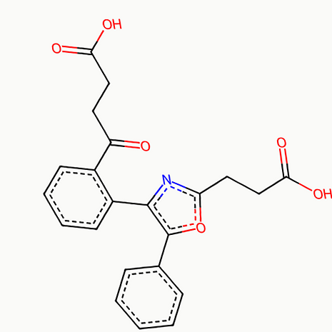 O=C(O)CCC(=O)c1ccccc1-c1nc(CCC(=O)O)oc1-c1ccccc1